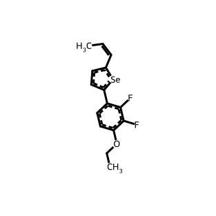 C/C=C\c1ccc(-c2ccc(OCC)c(F)c2F)[se]1